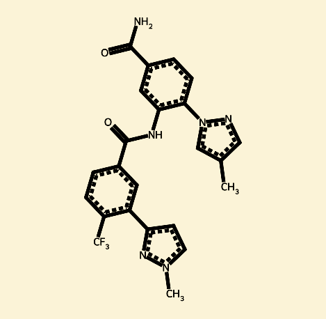 Cc1cnn(-c2ccc(C(N)=O)cc2NC(=O)c2ccc(C(F)(F)F)c(-c3ccn(C)n3)c2)c1